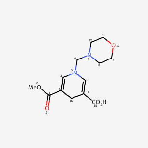 COC(=O)C1=CN(CN2CCOCC2)C=C(C(=O)O)C1